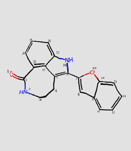 O=C1NCCc2c(-c3cc4ccccc4o3)[nH]c3cccc1c23